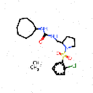 O=C(NCC1CCCN1S(=O)(=O)c1ccccc1Cl)N[C]1CCCCCCC1.[CH2].[CH2]